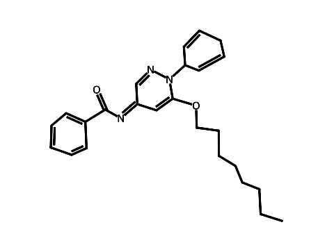 CCCCCCCCOc1cc(=NC(=O)c2ccccc2)cnn1C1C=CCC=C1